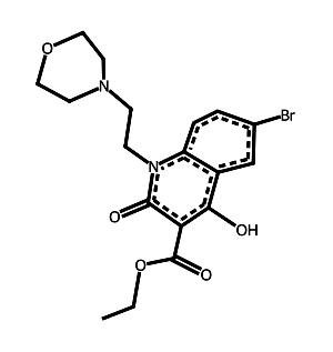 CCOC(=O)c1c(O)c2cc(Br)ccc2n(CCN2CCOCC2)c1=O